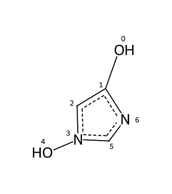 Oc1cn(O)cn1